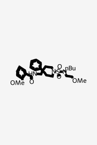 CCCCN(CCOC)S(=O)(=O)N1CCC(CNC(=O)c2ccccc2OC)(c2ccccc2)CC1